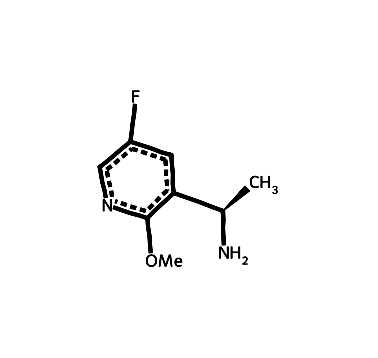 COc1ncc(F)cc1[C@@H](C)N